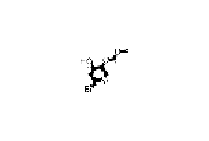 COCOc1cnc(Br)cc1O